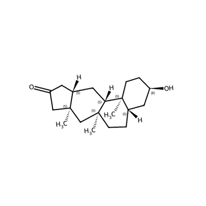 C[C@]12CC(=O)C[C@@H]1C[C@H]1[C@@](C)(CC[C@H]3C[C@H](O)CC[C@@]31C)C2